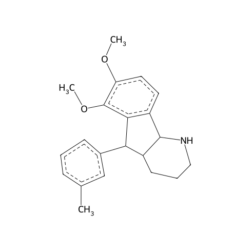 COc1ccc2c(c1OC)C(c1cccc(C)c1)C1CCCNC21